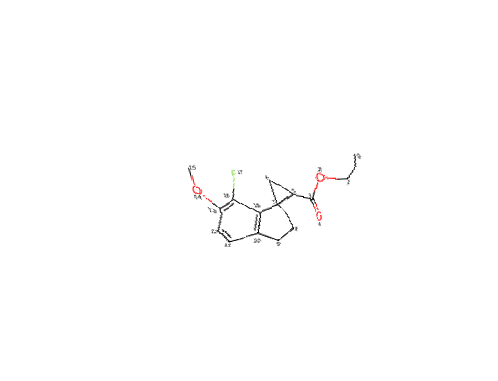 CCOC(=O)C1CC12CCc1ccc(OC)c(F)c12